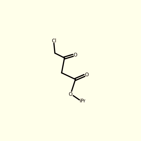 CC(C)OC(=O)CC(=O)CCl